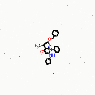 O=c1cc(Nc2ccccc2)n(-c2ccccc2)c2nc(OCc3ccccc3)cc(C(F)(F)F)c12